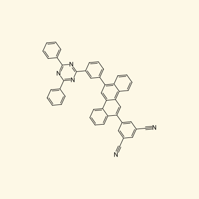 N#Cc1cc(C#N)cc(-c2cc3c4ccccc4c(-c4cccc(-c5nc(-c6ccccc6)nc(-c6ccccc6)n5)c4)cc3c3ccccc23)c1